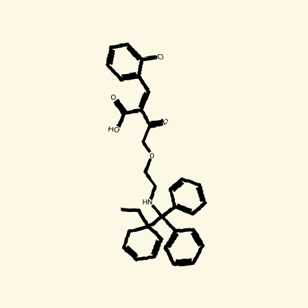 CCC1(C(NCCOCC(=O)C(=Cc2ccccc2Cl)C(=O)O)(c2ccccc2)c2ccccc2)C=CC=CC1